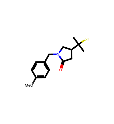 COc1ccc(CN2CC(C(C)(C)S)CC2=O)cc1